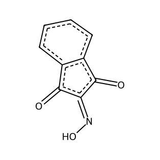 O=c1c(=NO)c(=O)c2ccccc12